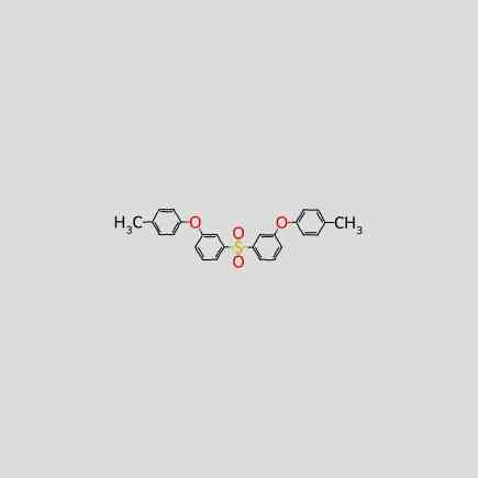 Cc1ccc(Oc2cccc(S(=O)(=O)c3cccc(Oc4ccc(C)cc4)c3)c2)cc1